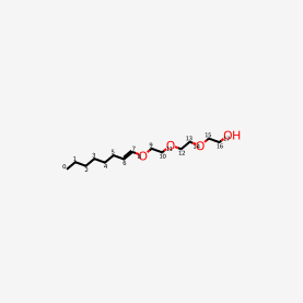 CCCCCCC=COCCOCCOCCO